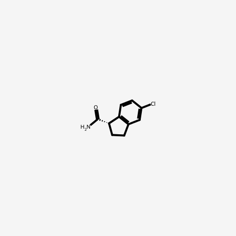 NC(=O)[C@H]1CCc2cc(Cl)ccc21